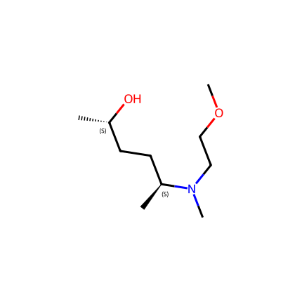 COCCN(C)[C@@H](C)CC[C@H](C)O